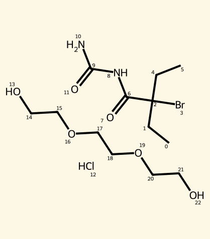 CCC(Br)(CC)C(=O)NC(N)=O.Cl.OCCOCCOCCO